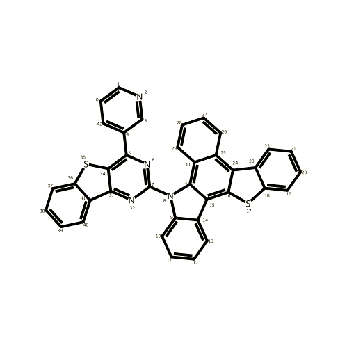 c1cncc(-c2nc(-n3c4ccccc4c4c5sc6ccccc6c5c5ccccc5c43)nc3c2sc2ccccc23)c1